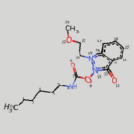 CCCCCCNC(=O)On1c(=O)c2ccccc2n1CCOC